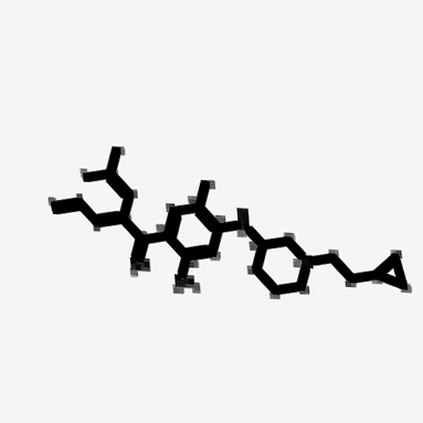 C=C/C=C(\C=C(C)C)C(=N)c1cc(C)c(NC2CCCN(CCC3CC3)C2)cc1N